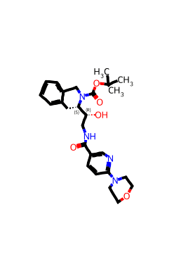 CC(C)(C)OC(=O)N1Cc2ccccc2C[C@H]1[C@H](O)CNC(=O)c1ccc(N2CCOCC2)nc1